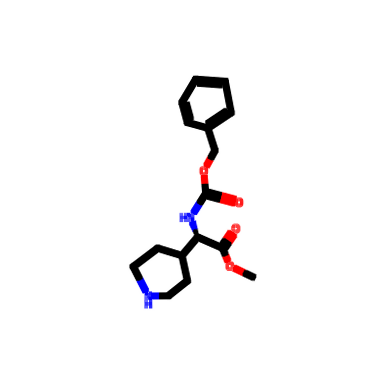 COC(=O)[C@H](NC(=O)OCc1ccccc1)C1CCNCC1